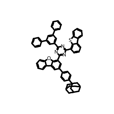 c1ccc(-c2cc(-c3ccccc3)cc(-c3nc(-c4cc(-c5ccc(C67CC8CC(CC(C8)C6)C7)cc5)cc5c4oc4ccccc45)nc(-c4cccc5c4sc4ccccc45)n3)c2)cc1